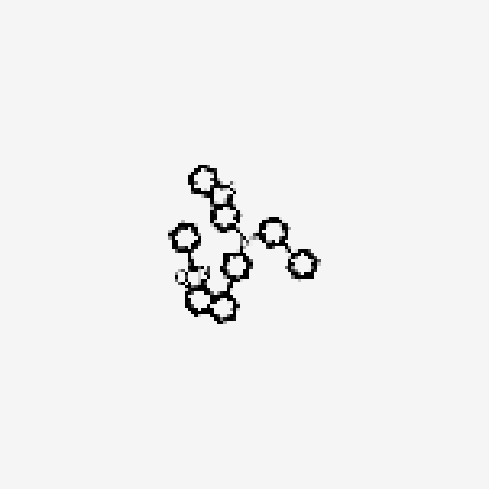 c1ccc(-c2cccc(N(c3ccc(-c4cccc5ccc6oc(-c7ccccc7)nc6c45)cc3)c3ccc4c(c3)sc3ccccc34)c2)cc1